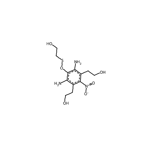 Nc1c(CCO)c([N+](=O)[O-])c(CCO)c(N)c1OSCCO